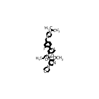 CCCN(c1ccnc(-c2ccc(CN3CCN(C(C)C)CC3)cc2F)c1)S(=O)(=O)c1cc(N2CCOCC2)cnc1OC